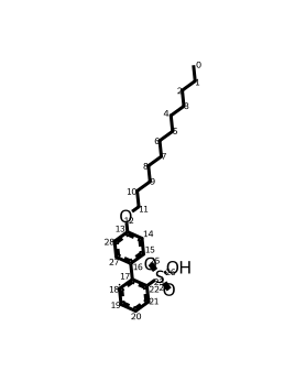 CCCCCCCCCCCCOc1ccc(-c2[c]cccc2S(=O)(=O)O)cc1